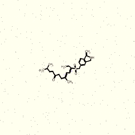 C=C/C(=C\C=C(/C)CCC(=O)CCC(C)C)S(=O)(=O)Cc1ccc2c(c1)CNC2=C